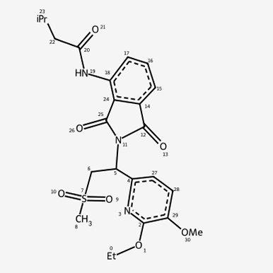 CCOc1nc(C(CS(C)(=O)=O)N2C(=O)c3cccc(NC(=O)CC(C)C)c3C2=O)ccc1OC